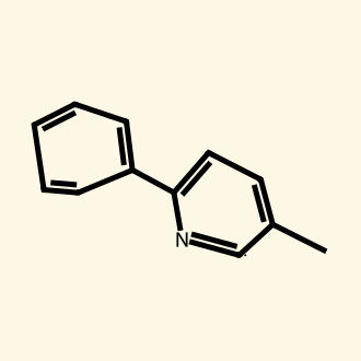 Cc1[c]nc(-c2ccccc2)cc1